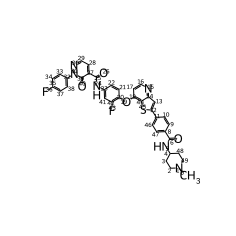 CN1CCC(NC(=O)c2ccc(-c3cc4nccc(Oc5ccc(NC(=O)c6ccnn(-c7ccc(F)cc7)c6=O)cc5F)c4s3)cc2)CC1